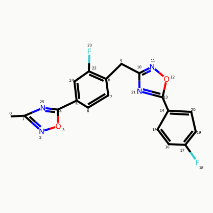 Cc1noc(-c2ccc(Cc3noc(-c4ccc(F)cc4)n3)c(F)c2)n1